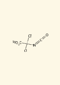 O=C=NC(Cl)(Cl)C(=O)O